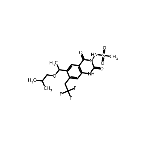 CC(C)COC(C)c1cc2c(=O)n(NS(C)(=O)=O)c(=O)[nH]c2cc1CC(F)(F)F